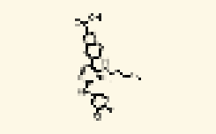 C=C(/N=C\C(=C(/N)NCCCOC)c1ccc2sc(C(=O)O)cc2c1)Nc1ccc(F)c(Cl)c1